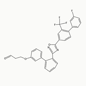 O=CCCOc1cccc(-c2ccccc2-c2noc(-c3ccc(-c4cccc(F)c4)c(C(F)(F)F)c3)n2)c1